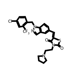 O=C1SC(=Cc2ccc3c(cnn3Cc3ccc(Cl)cc3C(F)(F)F)c2)C(=O)N1CCN1CCCC1